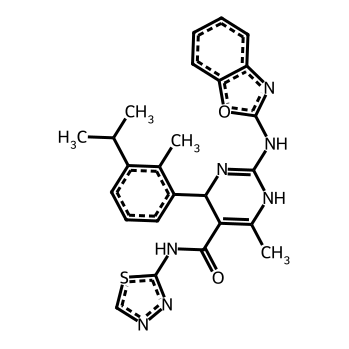 CC1=C(C(=O)Nc2nncs2)C(c2cccc(C(C)C)c2C)N=C(Nc2nc3ccccc3o2)N1